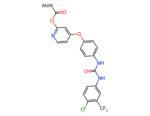 CNC(=O)Oc1cc(Oc2ccc(NC(=O)Nc3ccc(Cl)c(C(F)(F)F)c3)cc2)ccn1